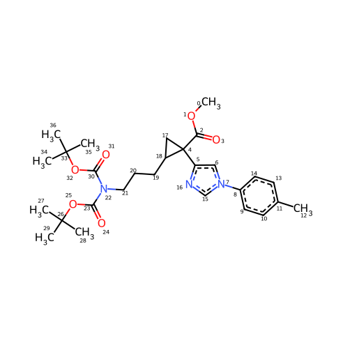 COC(=O)C1(c2cn(-c3ccc(C)cc3)cn2)CC1CCCN(C(=O)OC(C)(C)C)C(=O)OC(C)(C)C